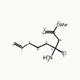 C=CCCCC(N)(CC)CC(=O)OC